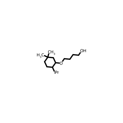 CC(C)C1CCC(C)(C)CC1OCCCCO